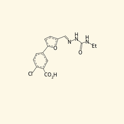 CCNC(=O)NN=Cc1ccc(-c2ccc(Cl)c(C(=O)O)c2)o1